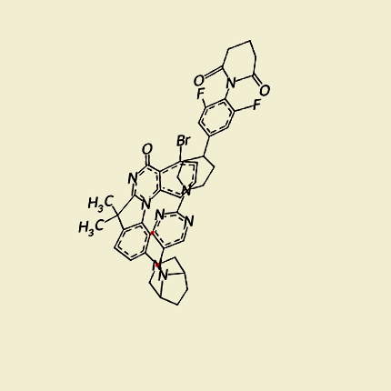 CC1(C)c2ccc(N3CC4CCC(C3)N4Cc3cnc(N4CCC(c5cc(F)c(N6C(=O)CCCC6=O)c(F)c5)CC4)nc3)cc2-n2c1nc(=O)c1c(Br)cccc12